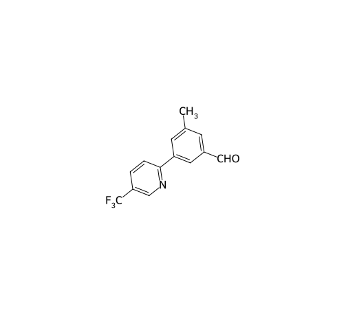 Cc1cc(C=O)cc(-c2ccc(C(F)(F)F)cn2)c1